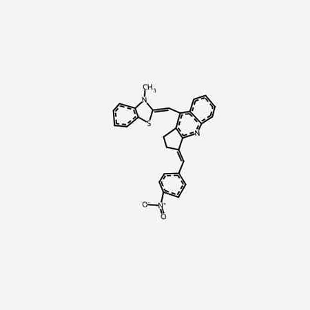 CN1/C(=C/c2c3c(nc4ccccc24)/C(=C/c2ccc([N+](=O)[O-])cc2)CC3)Sc2ccccc21